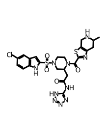 CC1Cc2nc(C(=O)N3CCN(S(=O)(=O)c4cc5cc(Cl)ccc5[nH]4)CC3CC(=O)Nc3nnn[nH]3)sc2CN1